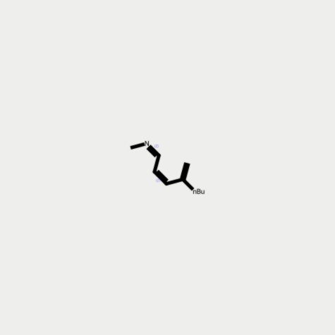 C=C(/C=C\C=N/C)CCCC